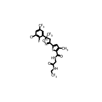 Cc1cc(C2=NO[C@@](c3cc(C(F)(F)F)cc(Cl)c3F)(C(F)(F)F)C2)sc1C(=O)NCC(=O)NCC(F)(F)F